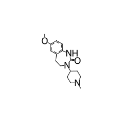 COc1ccc2c(c1)CCN(C1CCN(C)CC1)C(=O)N2